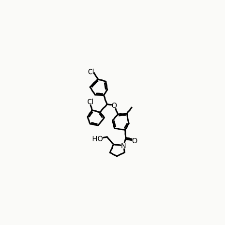 Cc1cc(C(=O)N2CCCC2CO)ccc1OC(c1ccc(Cl)cc1)c1ccccc1Cl